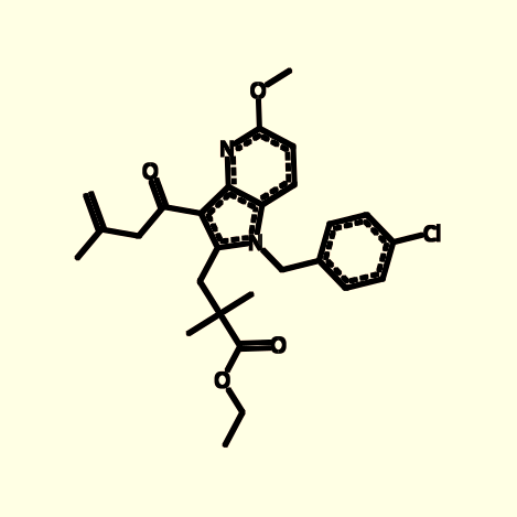 C=C(C)CC(=O)c1c(CC(C)(C)C(=O)OCC)n(Cc2ccc(Cl)cc2)c2ccc(OC)nc12